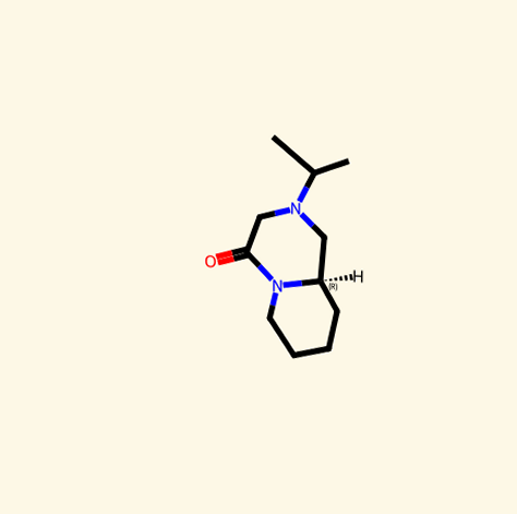 CC(C)N1CC(=O)N2CCCC[C@@H]2C1